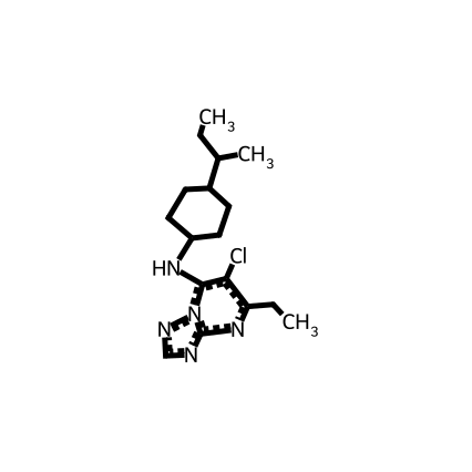 CCc1nc2ncnn2c(NC2CCC(C(C)CC)CC2)c1Cl